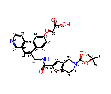 CC(C)(C)OC(=O)N1CCc2sc(C(=O)NCC(=Cc3cccnc3)c3ccc(OCC(=O)O)cc3)cc2C1